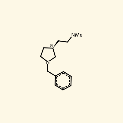 CNCC[C@@H]1CCN(Cc2ccccc2)C1